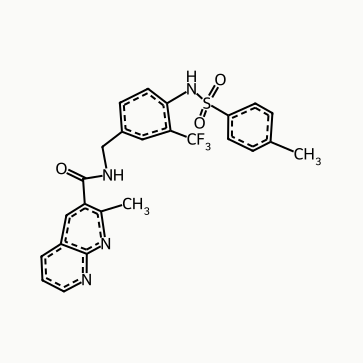 Cc1ccc(S(=O)(=O)Nc2ccc(CNC(=O)c3cc4cccnc4nc3C)cc2C(F)(F)F)cc1